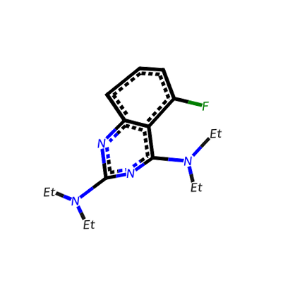 CCN(CC)c1nc(N(CC)CC)c2c(F)cccc2n1